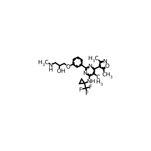 CNCC(O)COc1cccc(-c2nc(NC3(C(F)(F)F)CC3)c(C)c(-c3c(C)noc3C)n2)c1